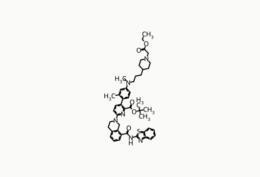 CCOC(=O)CN1CCC(CCCN(C)c2ccc(-c3ccc(N4CCc5cccc(C(=O)Nc6nc7ccccc7s6)c5C4)nc3C(=O)OC(C)(C)C)c(C)c2)CC1